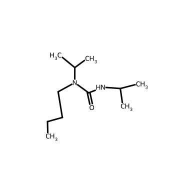 CCCCN(C(=O)NC(C)C)C(C)C